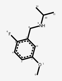 COc1ccc(F)c(CNC(C)C)c1